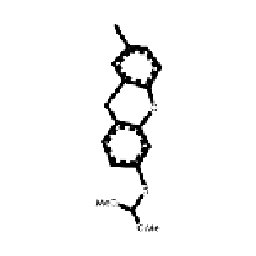 COC(OC)Sc1ccc2c(c1)Oc1ccc(C)cc1C2